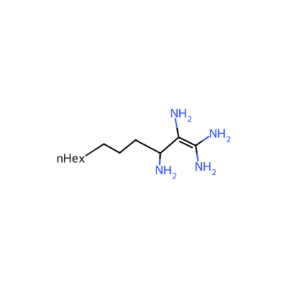 CCCCCCCCCC(N)C(N)=C(N)N